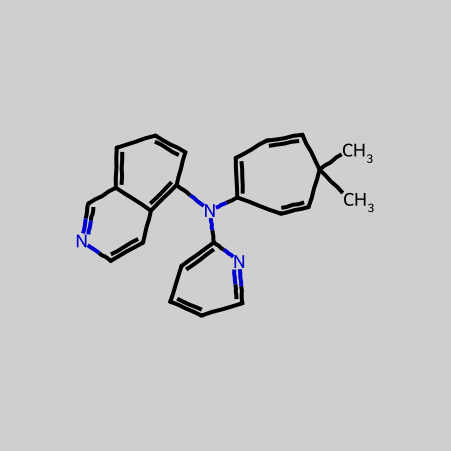 CC1(C)C=CC=C(N(c2ccccn2)c2cccc3cnccc23)C=C1